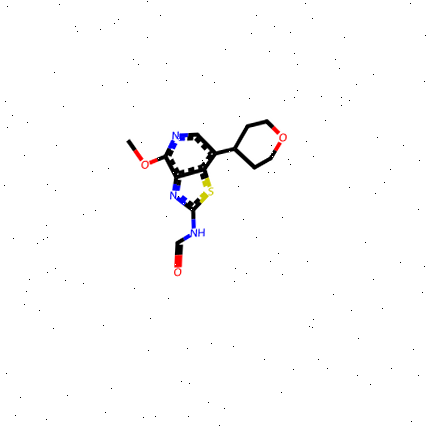 COc1ncc(C2CCOCC2)c2sc(NC=O)nc12